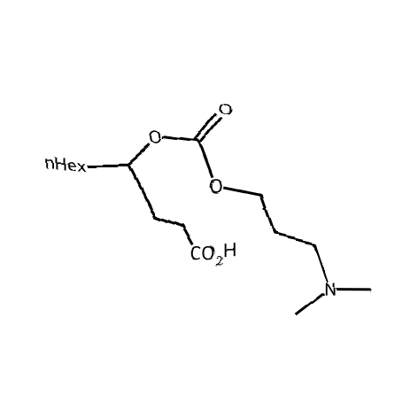 CCCCCCC(CCC(=O)O)OC(=O)OCCCN(C)C